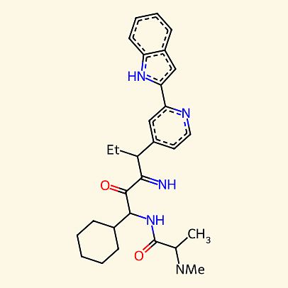 CCC(C(=N)C(=O)C(NC(=O)C(C)NC)C1CCCCC1)c1ccnc(-c2cc3ccccc3[nH]2)c1